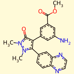 COC(=O)c1cc(N)cc(-c2c(-c3ccc4nccnc4c3)n(C)n(C)c2=O)c1